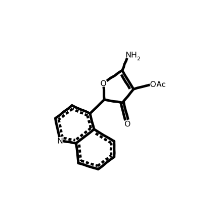 CC(=O)OC1=C(N)OC(c2ccnc3ccccc23)C1=O